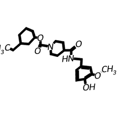 CCC1CCCC(OC(=O)N2CCC(C(=O)NCc3ccc(O)c(OC)c3)CC2)C1